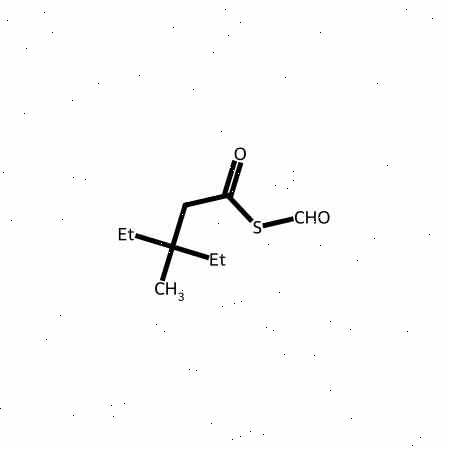 CCC(C)(CC)CC(=O)SC=O